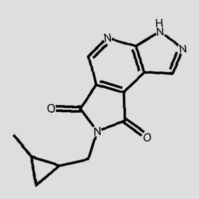 CC1CC1CN1C(=O)c2cnc3[nH]ncc3c2C1=O